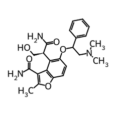 Cc1oc2ccc(OC(CN(C)C)c3ccccc3)c([C@@H](CO)C(N)=O)c2c1C(N)=O